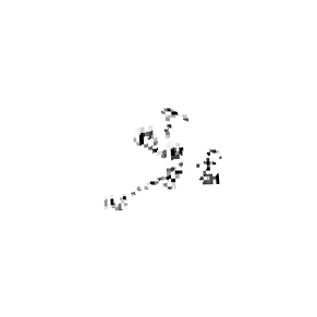 CCCCCCCCCCC(=O)OCC(CCCCN(CCO)C1CCCCCCC1)COC(=O)CC(CCCCCC)CCCCCCCC